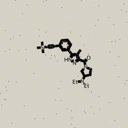 CCN(CC)C1CCN(C(=O)c2n[nH]c(-c3cccc(C#C[Si](C)(C)C)c3)c2C)C1